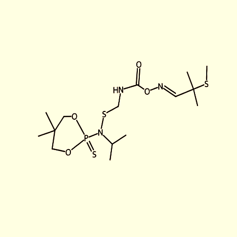 CSC(C)(C)C=NOC(=O)NCSN(C(C)C)P1(=S)OCC(C)(C)CO1